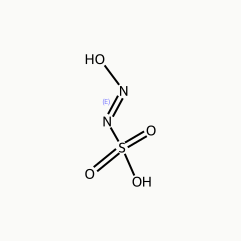 O=S(=O)(O)/N=N/O